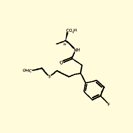 C[C@H](NC(=O)CC(CCSCC=O)c1ccc(F)cc1)C(=O)O